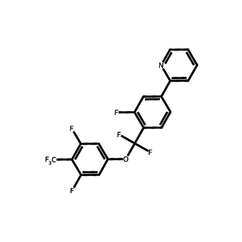 Fc1cc(-c2ccccn2)ccc1C(F)(F)Oc1cc(F)c(C(F)(F)F)c(F)c1